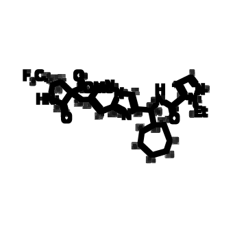 CCn1nccc1C(=O)N[C@H](c1cn2ncc(CC3(C(=O)OC)C[C@@H](C(F)(F)F)NC3=O)cc2n1)C1CCCCCC1